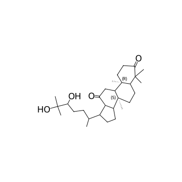 CC(CCC(O)C(C)(C)O)C1CCC2C1C(=O)CC1[C@@]2(C)CCC2C(C)(C)C(=O)CC[C@@]21C